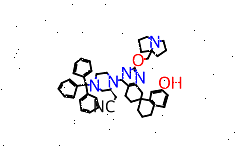 N#CC[C@H]1CN(C(c2ccccc2)(c2ccccc2)c2ccccc2)CCN1c1nc(OCC23CCCN2CCC3)nc2c1CCC1(CCCc3ccc(O)cc31)C2